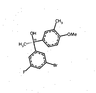 COc1ccc([C@](C)(O)c2cc(F)cc(Br)c2)cc1C